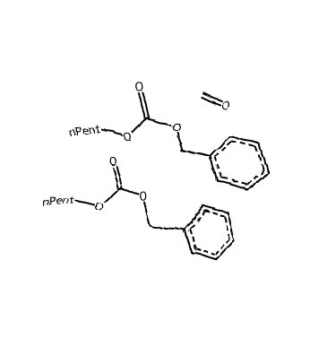 C=O.CCCCCOC(=O)OCc1ccccc1.CCCCCOC(=O)OCc1ccccc1